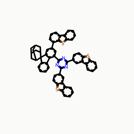 c1ccc2c(c1)-c1c(-c3nc(-c4ccc5sc6ccccc6c5c4)nc(-c4ccc5sc6ccccc6c5c4)n3)cc(-c3cccc4c3sc3ccccc34)cc1C21C2CC3CC(C2)CC1C3